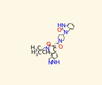 CC(C)(C)CN1Cc2c(ccc3[nH]ncc23)C[C@@H](CC(=O)N2CCC(N3Cc4ccccc4NC3=O)CC2)C1=O